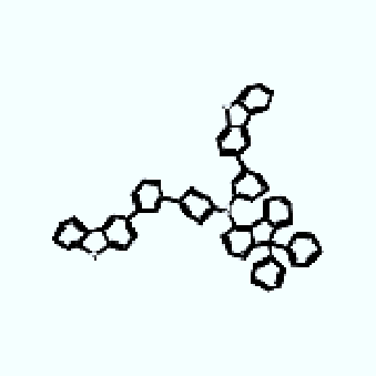 c1ccc(C2(c3ccccc3)c3ccccc3-c3c(N(c4ccc(-c5cccc(-c6ccc7sc8ccccc8c7c6)c5)cc4)c4cccc(-c5ccc6oc7ccccc7c6c5)c4)cccc32)cc1